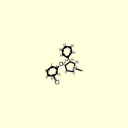 CN1CC[C@H](Oc2cccc(Cl)c2)[C@@H](c2ccccc2)C1